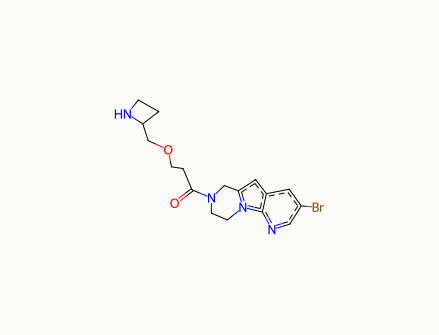 O=C(CCOCC1CCN1)N1CCn2c(cc3cc(Br)cnc32)C1